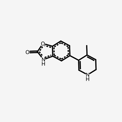 CC1=CCNC=C1c1ccc2oc(=O)[nH]c2c1